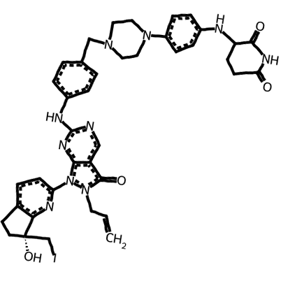 C=CCn1c(=O)c2cnc(Nc3ccc(CN4CCN(c5ccc(NC6CCC(=O)NC6=O)cc5)CC4)cc3)nc2n1-c1ccc2c(n1)[C@@](O)(CI)CC2